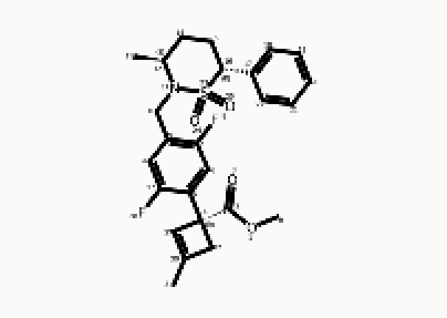 COC(=O)[C@@]1(c2cc(F)c(CN3[C@@H](C)CC[C@H](c4ccccc4)S3(=O)=O)cc2F)C=C(C)C1